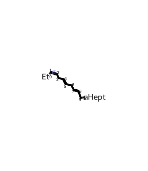 CC/C=C\CC=CCC=CCCCCCCCC